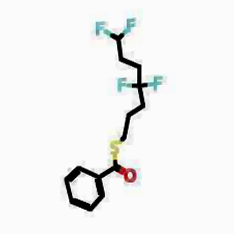 O=C(SCCCC(F)(F)CCC(F)F)c1ccccc1